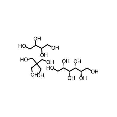 OCC(CO)(CO)CO.OCC(O)C(O)CO.OC[C@@H](O)[C@@H](O)[C@H](O)[C@@H](O)CO